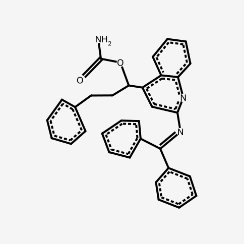 NC(=O)OC(CCc1ccccc1)c1cc(N=C(c2ccccc2)c2ccccc2)nc2ccccc12